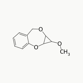 COC1C2OCc3ccccc3OC12